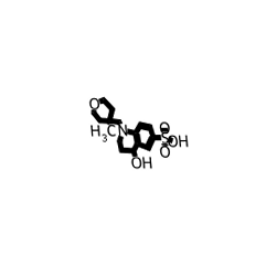 CC1(CN2CCC(O)c3cc(S(=O)(=O)O)ccc32)CCOCC1